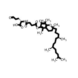 Cc1c(C)c2c(c(C)c1OC(=O)CCC(=O)N[C@@H](CCC=O)C(=O)O)CC[C@@](C)(CCC[C@@H](C)CCC[C@H](C)CCCC(C)C)O2